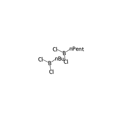 CCCCB(Cl)Cl.CCCCCB(Cl)Cl